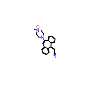 C[N+]1([O-])CCN(C2=Cc3ccccc3C(=CC#N)c3ccccc32)CC1